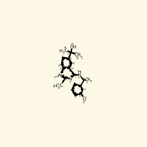 Cc1nc(NC(C)c2cccc(Cl)c2)c2cc(C(C)(C)O)ccc2n1